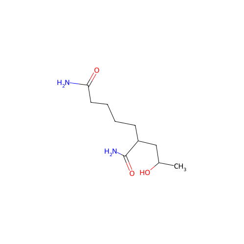 CC(O)CC(CCCCC(N)=O)C(N)=O